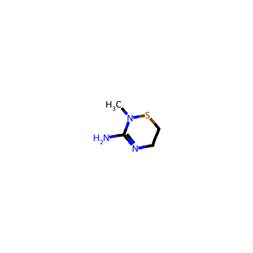 CN1SCCN=C1N